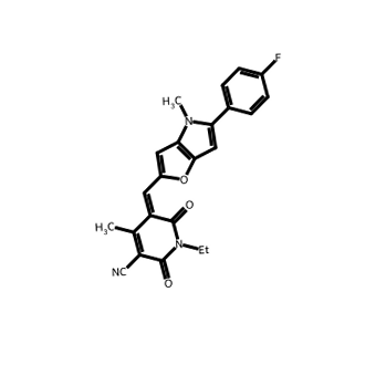 CCN1C(=O)C(C#N)=C(C)/C(=C/c2cc3c(cc(-c4ccc(F)cc4)n3C)o2)C1=O